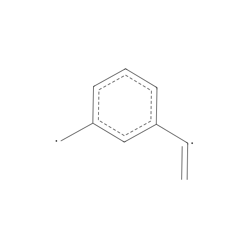 [CH2]c1cccc([C]=C)c1